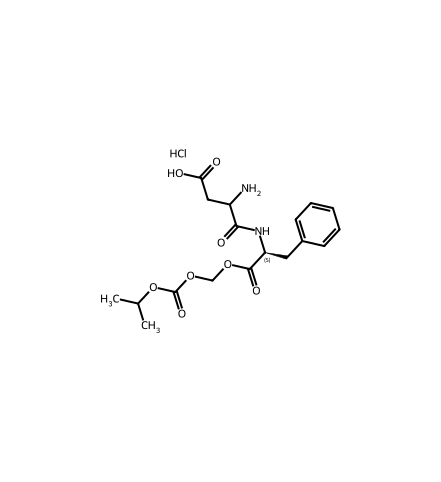 CC(C)OC(=O)OCOC(=O)[C@H](Cc1ccccc1)NC(=O)C(N)CC(=O)O.Cl